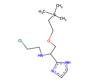 C[Si](C)(C)CCOCC(NCCCl)c1ncc[nH]1